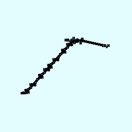 CCCCNC(=O)COCCOCCNC(=O)COCCOCCNC(=O)COCCOCCNC(=O)CNC(=O)COCCOCCNC(=O)COCCOCCNC(=O)COCCOCCNC(=O)CC[C@H](NC(=O)[C@H]1CC[C@H](CNC(=O)CCCCCCCCCCCCCCCCCCC(=O)O)CC1)C(=O)O